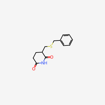 O=C1CCC(CSCc2ccccc2)C(=O)N1